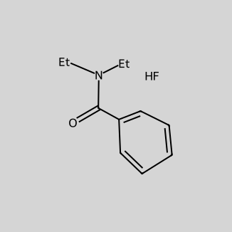 CCN(CC)C(=O)c1ccccc1.F